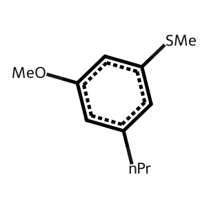 CCCc1cc(OC)cc(SC)c1